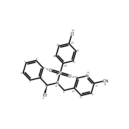 CC[C@@H](c1ccccc1)N(Cc1ccc(C#N)nc1)S(=O)(=O)c1ccc(Cl)cc1